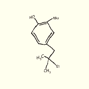 CCC(C)(C)Cc1ccc(O)c(C(C)(C)C)c1